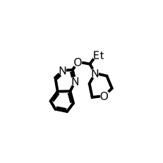 CCC(Oc1ncc2ccccc2n1)N1CCOCC1